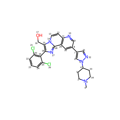 CN1CCC(n2cc(-c3cnc4ccn5c(CO)c(-c6c(Cl)cccc6Cl)nc5c4c3)cn2)CC1